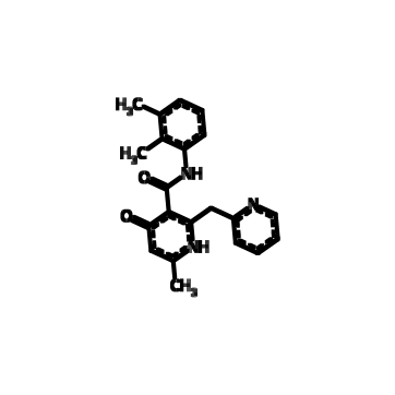 Cc1cc(=O)c(C(=O)Nc2cccc(C)c2C)c(Cc2ccccn2)[nH]1